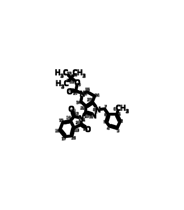 Cc1ccccc1Cn1nc(N2C(=O)c3ccccc3C2=O)c2c1CCN(C(=O)OC(C)(C)C)C2